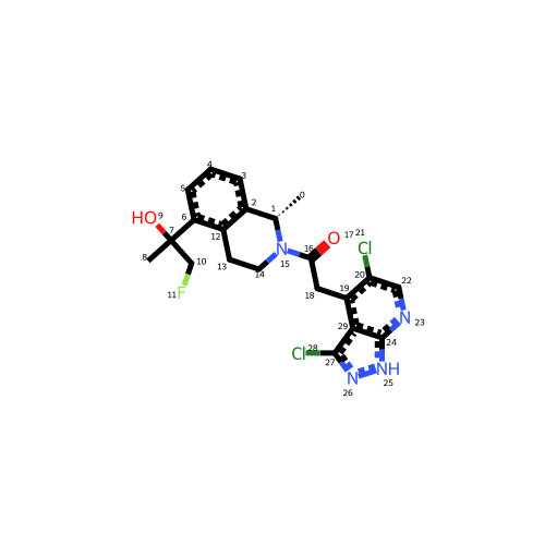 C[C@H]1c2cccc(C(C)(O)CF)c2CCN1C(=O)Cc1c(Cl)cnc2[nH]nc(Cl)c12